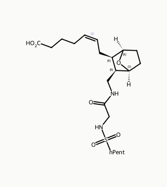 CCCCCS(=O)(=O)NCC(=O)NC[C@H]1[C@@H](C/C=C\CCCC(=O)O)[C@H]2CC[C@@H]1O2